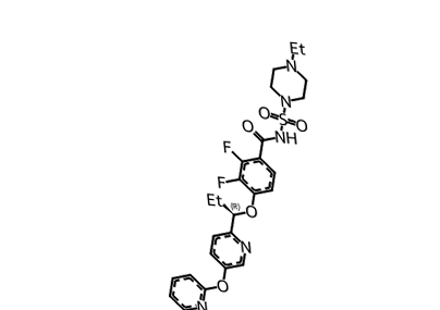 CC[C@@H](Oc1ccc(C(=O)NS(=O)(=O)N2CCN(CC)CC2)c(F)c1F)c1ccc(Oc2ccccn2)cn1